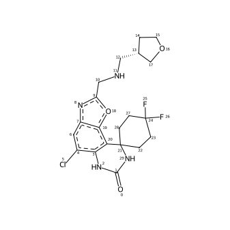 O=C1Nc2c(Cl)cc3nc(CNC[C@@H]4CCOC4)oc3c2C2(CCC(F)(F)CC2)N1